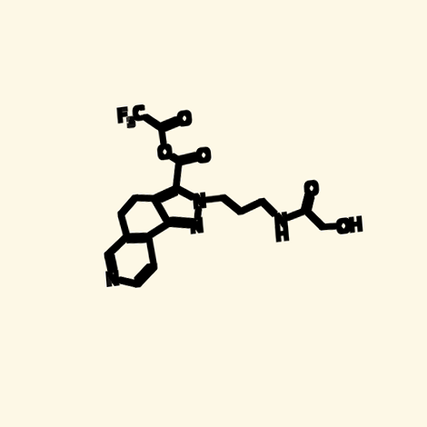 O=C(CO)NCCCn1nc2c(c1C(=O)OC(=O)C(F)(F)F)CCc1cnccc1-2